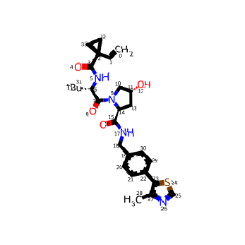 C=CC1(C(=O)N[C@H](C(=O)N2C[C@H](O)C[C@H]2C(=O)NCc2ccc(-c3scnc3C)cc2)C(C)(C)C)CC1